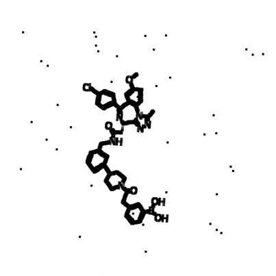 COc1ccc2c(c1)C(c1ccc(Cl)cc1)=N[C@@H](CC(=O)NCc1cccc(C3CCN(C(=O)Cc4cccc(B(O)O)c4)CC3)c1)c1nnc(C)n1-2